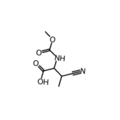 COC(=O)NC(C(=O)O)C(C)C#N